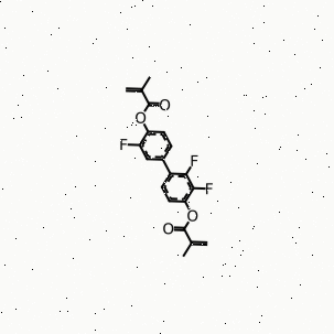 C=C(C)C(=O)Oc1ccc(-c2ccc(OC(=O)C(=C)C)c(F)c2F)cc1F